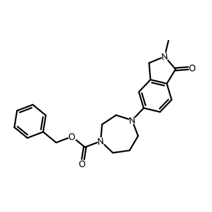 CN1Cc2cc(N3CCCN(C(=O)OCc4ccccc4)CC3)ccc2C1=O